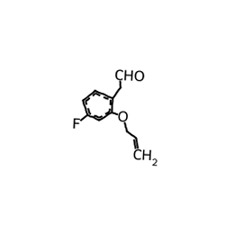 C=CCOc1cc(F)ccc1CC=O